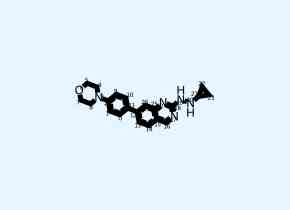 c1cc(N2CCOCC2)ccc1-c1ccc2cnc(NNC3CC3)nc2c1